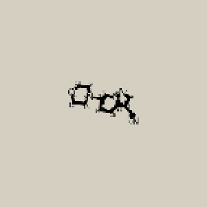 N#Cc1cnn2cc(N3CCOCC3)ccc12